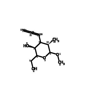 COC1OC(CO)[C@@H](O)C(N=[N+]=[N-])[C@@H]1C